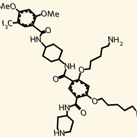 COc1cc(OC)c(C(=O)NC2CCC(NC(=O)c3cc(C(=O)NC4CCNCC4)c(OCCCCCN)cc3OCCCCCN)CC2)cc1C